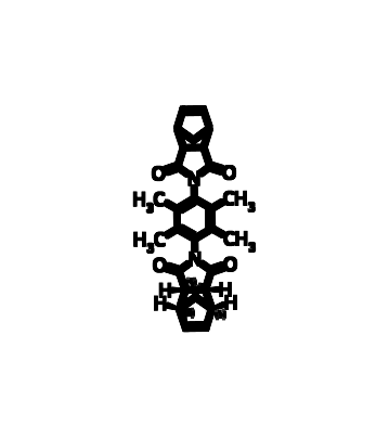 Cc1c(C)c(N2C(=O)[C@@H]3[C@H](C2=O)[C@@H]2C=C[C@H]3C2)c(C)c(C)c1N1C(=O)C2C3C=CC(C3)C2C1=O